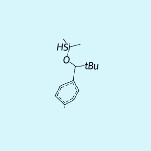 C[SiH](C)OC(c1cc[c]cc1)C(C)(C)C